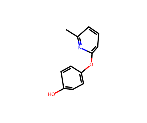 Cc1cccc(Oc2ccc(O)cc2)n1